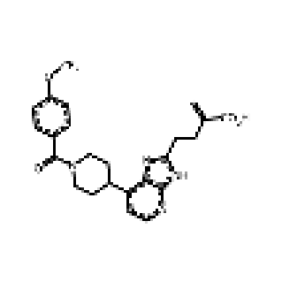 C=C(CCc1nc2c(C3CCN(C(=O)c4ccc(OC(F)(F)F)cc4)CC3)ccnc2[nH]1)C(=O)O